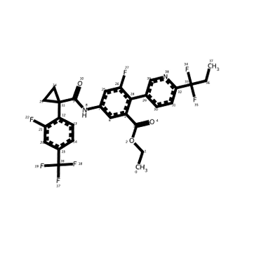 CCOC(=O)c1cc(NC(=O)C2(c3ccc(C(F)(F)F)cc3F)CC2)cc(F)c1-c1ccc(C(F)(F)CC)nc1